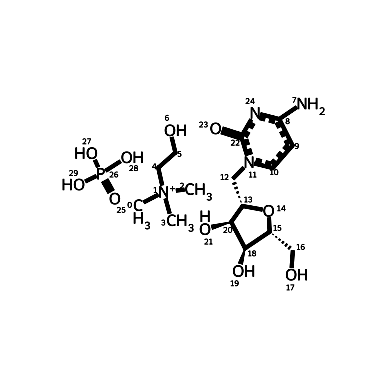 C[N+](C)(C)CCO.Nc1ccn(C[C@@H]2O[C@H](CO)[C@@H](O)[C@H]2O)c(=O)n1.O=P(O)(O)O